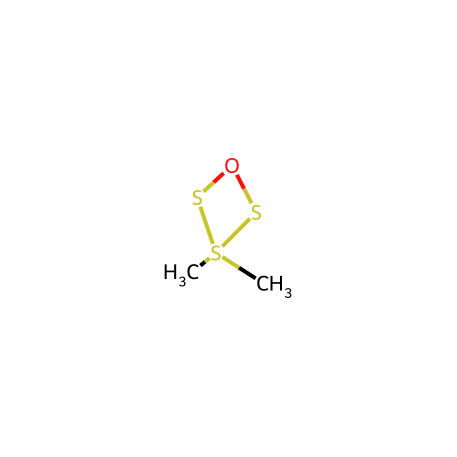 CS1(C)SOS1